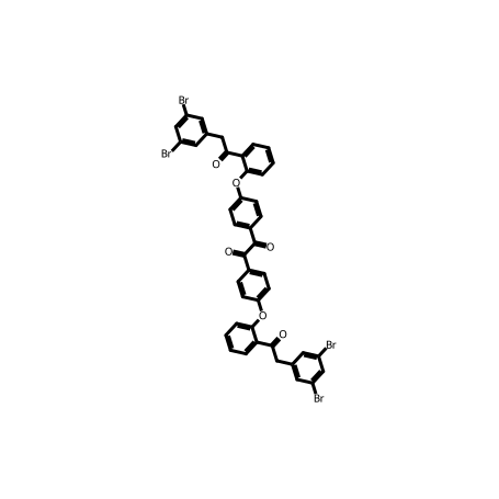 O=C(C(=O)c1ccc(Oc2ccccc2C(=O)Cc2cc(Br)cc(Br)c2)cc1)c1ccc(Oc2ccccc2C(=O)Cc2cc(Br)cc(Br)c2)cc1